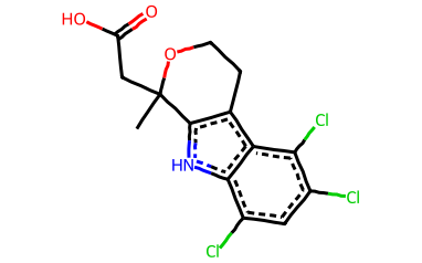 CC1(CC(=O)O)OCCc2c1[nH]c1c(Cl)cc(Cl)c(Cl)c21